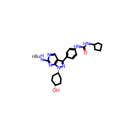 CCCCNc1ncc2c(-c3ccc(NC(=O)NC4CCCC4)cc3)nn([C@H]3CC[C@@H](O)CC3)c2n1